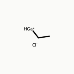 C[CH2][GaH+].[Cl-]